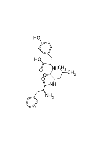 CC(C)C[C@H](NC(=O)[C@@H](N)Cc1cccnc1)C(=O)N[C@@H](Cc1ccc(O)cc1)C(=O)O